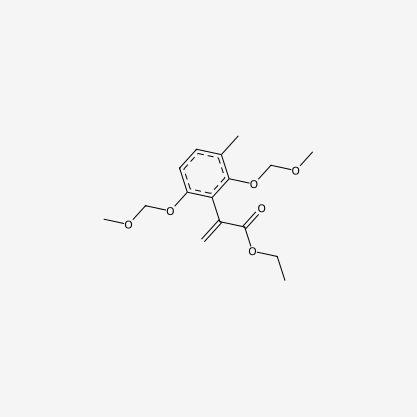 C=C(C(=O)OCC)c1c(OCOC)ccc(C)c1OCOC